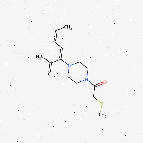 C=C(C)/C(=C\C=C/C)N1CCN(C(=O)CSC)CC1